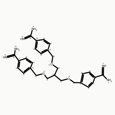 N=C(N)c1ccc(COCC(COCc2ccc(C(=N)N)cc2)COCc2ccc(C(=N)N)cc2)cc1